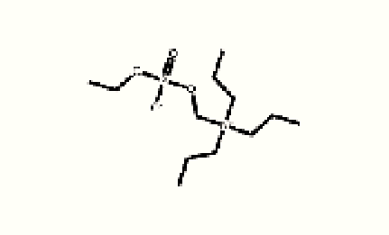 CCC[N+](CCC)(CCC)COP(=O)([O-])OCC